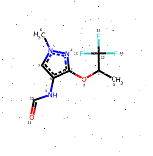 CC(Oc1nn(C)cc1NC=O)C(F)(F)F